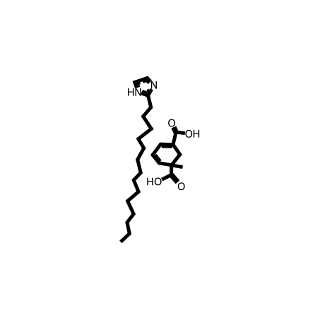 CC1(C(=O)O)C=CC=C(C(=O)O)C1.CCCCCCCCCCCCCCc1ncc[nH]1